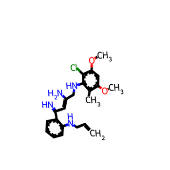 C=CCNc1ccccc1C(=N)/C=C(\N)CNc1c(C)c(OC)cc(OC)c1Cl